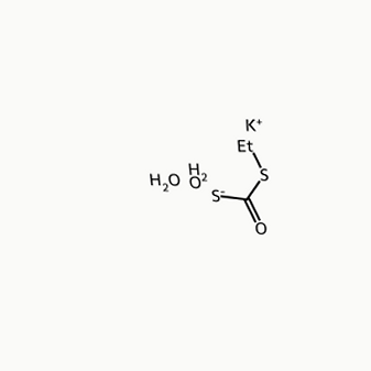 CCSC(=O)[S-].O.O.[K+]